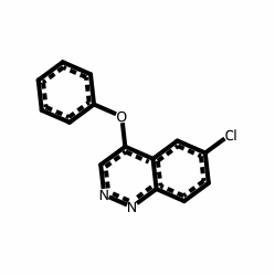 Clc1ccc2nncc(Oc3ccccc3)c2c1